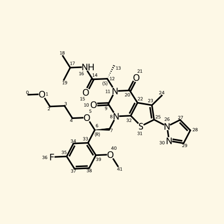 COCCCO[C@@H](Cn1c(=O)n([C@@H](C)C(=O)NC(C)C)c(=O)c2c(C)c(-n3cccn3)sc21)c1cc(F)ccc1OC